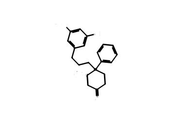 CC(=O)O[C@H](Cc1cc(C(F)(F)F)cc(C(F)(F)F)c1)CC1(c2ccccc2)CCC(=O)CC1